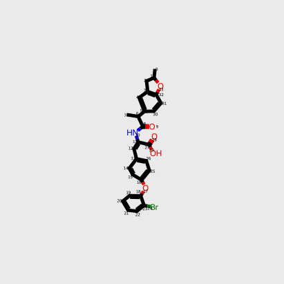 CC1Cc2cc(C(C)C(=O)NC(=Cc3ccc(Oc4ccccc4Br)cc3)C(=O)O)ccc2O1